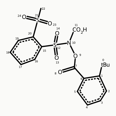 CC(C)(C)c1ccccc1C(=O)ON(C(=O)O)S(=O)(=O)c1ccccc1S(C)(=O)=O